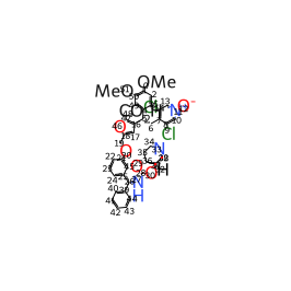 COc1ccc([C@H](Cc2c(Cl)c[n+]([O-])cc2Cl)c2cc(COc3cccc([C@@H](NC(=O)O[C@H]4CN5CCC4CC5)c4ccccc4)c3)oc2C(=O)O)cc1OC